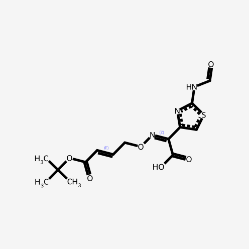 CC(C)(C)OC(=O)/C=C/CO/N=C(\C(=O)O)c1csc(NC=O)n1